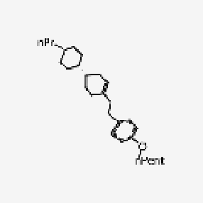 CCCCCOc1ccc(CCC2=CCC([C@H]3CC[C@H](CCC)CC3)CC2)cc1